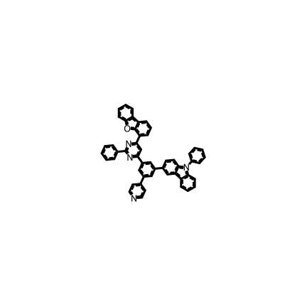 c1ccc(-c2nc(-c3cc(-c4ccncc4)cc(-c4ccc5c(c4)c4ccccc4n5-c4ccccc4)c3)cc(-c3cccc4c3oc3ccccc34)n2)cc1